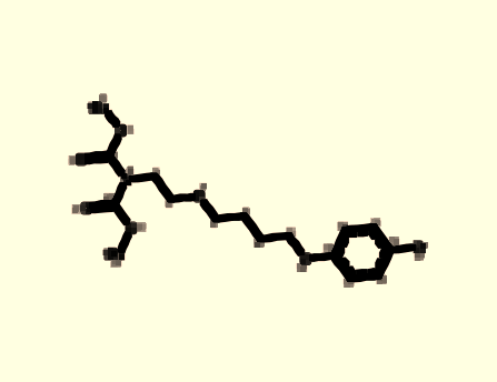 CC(C)(C)OC(=O)N(CCOCCCCOc1ccc(Br)cc1)C(=O)OC(C)(C)C